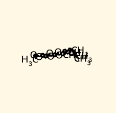 CCC1(COc2ccc3cc(C(=O)Oc4ccc(C(=O)OC5CCC6(C)C(=CCC7C6CCC6(C)C(C(C)CCCC(C)C)CCC76)C5)cc4)ccc3c2)COC1